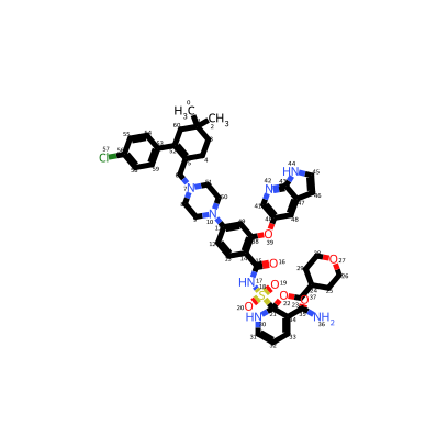 CC1(C)CCC(CN2CCN(c3ccc(C(=O)NS(=O)(=O)C4(OCC5CCOCC5)NC=CC=C4C(N)=O)c(Oc4cnc5[nH]ccc5c4)c3)CC2)=C(c2ccc(Cl)cc2)C1